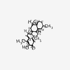 CC1=C(O)C(=O)C=C2C1=CC=C1[C@@]2(C)CCC2[C@@H]3C[C@@H](C)CC[C@]3(C)CC[C@]12C